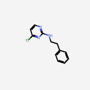 Clc1ccnc(NCCc2ccccc2)n1